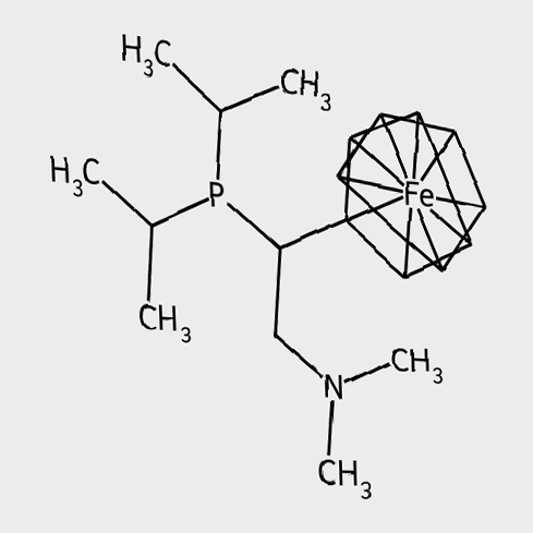 CC(C)P(C(C)C)C(CN(C)C)[C]12[CH]3[CH]4[CH]5[CH]1[Fe]45321678[CH]2[CH]1[CH]6[CH]7[CH]28